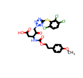 COc1ccc(CCOC(=O)NC(CC(=O)O)C(=O)Cn2nnc(Sc3c(Cl)ccc(Cl)c3Cl)n2)cc1